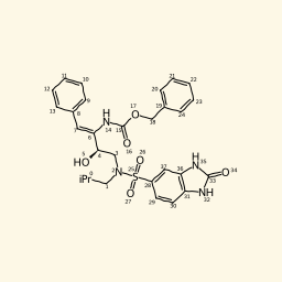 CC(C)CN(C[C@@H](O)/C(=C/c1ccccc1)NC(=O)OCc1ccccc1)S(=O)(=O)c1ccc2[nH]c(=O)[nH]c2c1